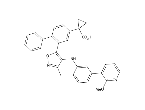 COc1ncccc1-c1cccc(Nc2c(C)noc2-c2cc(C3(C(=O)O)CC3)ccc2-c2ccccc2)c1